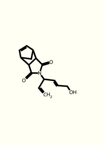 C=CC(C=CCO)N1C(=O)C2C3C=CC(C3)C2C1=O